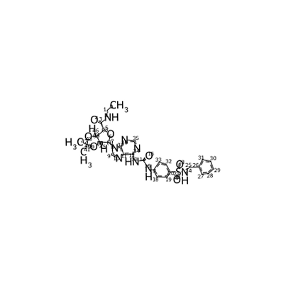 CCNC(=O)[C@H]1O[C@@H](n2cnc3c(NC(=O)Nc4ccc(S(=O)(=O)NCc5ccccc5)cc4)ncnc32)[C@@H]2OC(C)(C)O[C@@H]21